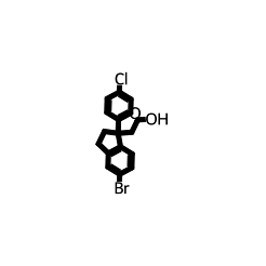 O=C(O)CC1(c2ccc(Cl)cc2)CCc2cc(Br)ccc21